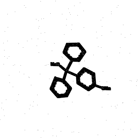 COc1ccc(C(OC)(c2[c]cccc2)c2ccccc2)cc1